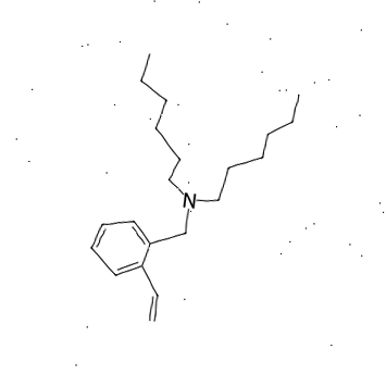 C=Cc1ccccc1CN(CCCCCC)CCCCCC